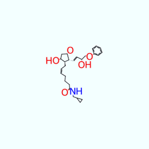 O=C(CCC/C=C\C[C@H]1[C@@H](O)CC(=O)[C@@H]1/C=C/[C@@H](O)COc1ccccc1)NCC1CC1